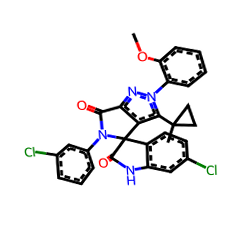 COc1ccccc1-n1nc2c(c1C1(C)CC1)C1(C(=O)Nc3cc(Cl)ccc31)N(c1cccc(Cl)c1)C2=O